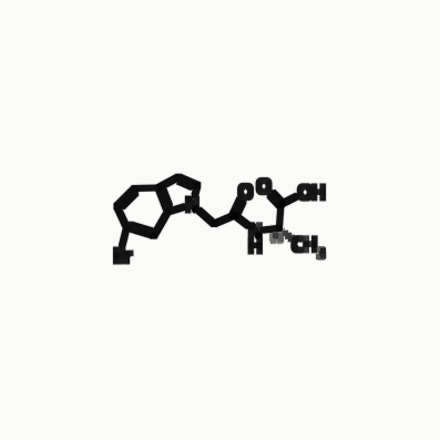 C[C@H](NC(=O)Cn1ccc2ccc(Br)cc21)C(=O)O